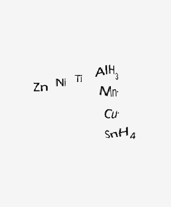 [AlH3].[Cu].[Mn].[Ni].[SnH4].[Ti].[Zn]